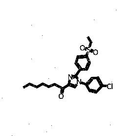 CCCCCCC(=O)c1cn(-c2ccc(Cl)cc2)c(-c2ccc(S(=O)(=O)CC)cc2)n1